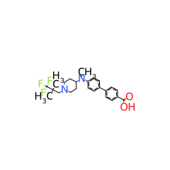 CN(c1ccc(-c2ccc(C(=O)O)cc2)cc1)C1CCN(CC(C)(C)C(F)(F)F)CC1